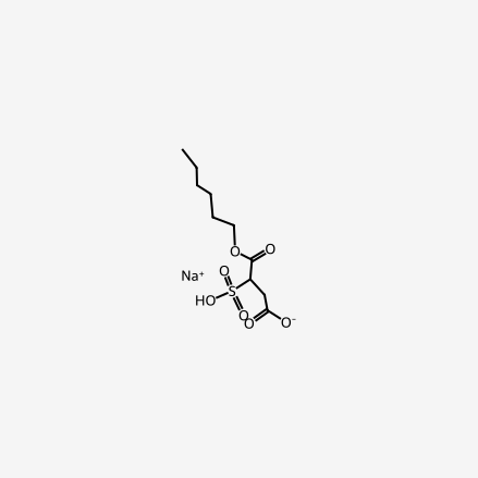 CCCCCCOC(=O)C(CC(=O)[O-])S(=O)(=O)O.[Na+]